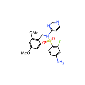 COc1ccc(CN(c2ccncn2)S(=O)(=O)c2ccc(N)cc2F)c(OC)c1